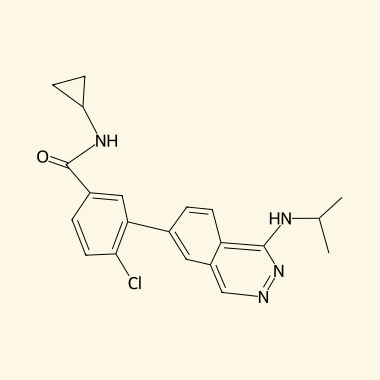 CC(C)Nc1nncc2cc(-c3cc(C(=O)NC4CC4)ccc3Cl)ccc12